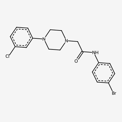 O=C(CN1CCN(c2cccc(Cl)c2)CC1)Nc1ccc(Br)cc1